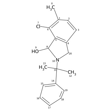 Cc1ccc2c(c1Cl)C(O)N(C(C)(C)c1ccccc1)C2